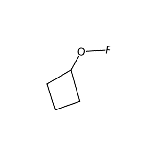 FOC1CCC1